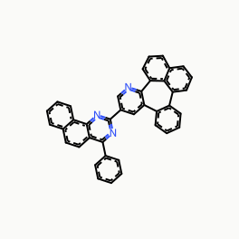 c1ccc(-c2nc(-c3cnc4c(c3)-c3ccccc3-c3cccc5cccc-4c35)nc3c2ccc2ccccc23)cc1